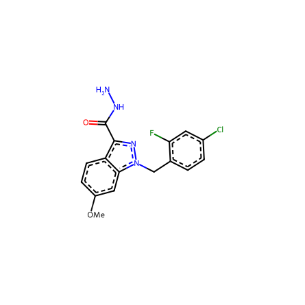 COc1ccc2c(C(=O)NN)nn(Cc3ccc(Cl)cc3F)c2c1